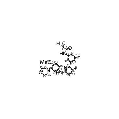 C=CC(=O)Nc1cc(F)cc(-c2nc(Nc3ccc(OC)c(N4CCOCC4)c3)ncc2F)c1